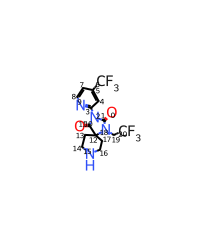 O=C1N(c2cc(C(F)(F)F)ccn2)C(=O)C2(CCNCC2)N1CC(F)(F)F